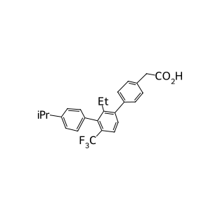 CCc1c(-c2ccc(CC(=O)O)cc2)ccc(C(F)(F)F)c1-c1ccc(C(C)C)cc1